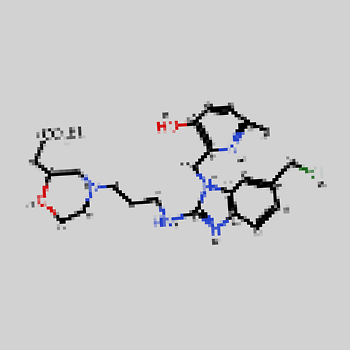 CCOC(=O)CC1CN(CCCNc2nc3ccc(CCl)cc3n2Cc2nc(C)ccc2O)CCO1